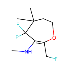 CNC1=C(CF)OCCC(C)(C)C1(F)F